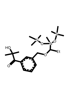 CCC(OCc1cccc(C(=O)C(C)(C)O)c1)[Si](C)(O[Si](C)(C)C)O[Si](C)(C)C